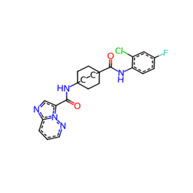 O=C(NC12CCC(C(=O)Nc3ccc(F)cc3Cl)(CC1)CC2)c1cnc2cccnn12